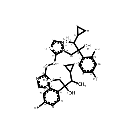 CC(C1CC1)C(O)(Cn1ncnc1SSc1ncnn1CC(O)(c1ccc(F)cc1F)C(C)C1CC1)c1ccc(F)cc1F